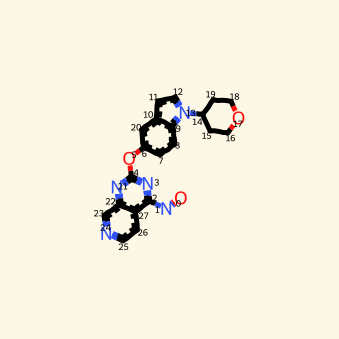 O=Nc1nc(Oc2ccc3c(ccn3C3CCOCC3)c2)nc2cnccc12